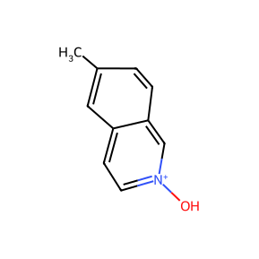 Cc1ccc2c[n+](O)ccc2c1